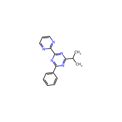 CC(C)c1nc(-c2ccccc2)nc(-c2ncccn2)n1